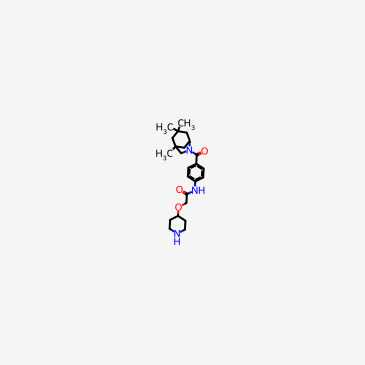 CC1(C)CC2CC(C)(CN2C(=O)c2ccc(NC(=O)COC3CCNCC3)cc2)C1